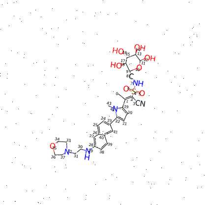 C/C(=C(/C#N)S(=O)(=O)NCC1OC(O)[C@H](O)[C@@H](O)[C@@H]1O)c1ccc(-c2ccc3cc(NCCN4CCOCC4)ccc3c2)n1C